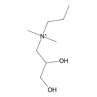 CCC[N+](C)(C)CC(O)CO